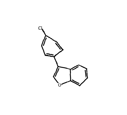 Clc1ccc(-c2coc3ccccc23)cc1